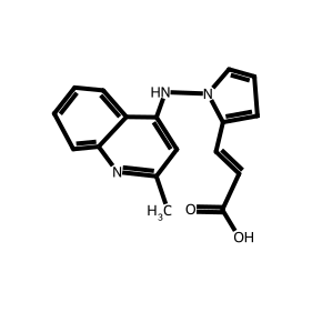 Cc1cc(Nn2cccc2C=CC(=O)O)c2ccccc2n1